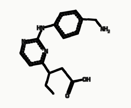 CCC(CC(=O)O)c1ccnc(Nc2ccc(CN)cc2)n1